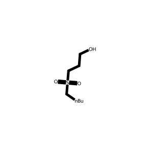 CCCCCS(=O)(=O)CCCO